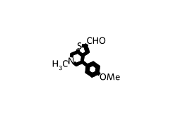 COc1ccc(C2CN(C)CC3SC(C=O)=CC32)cc1